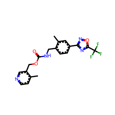 Cc1cc(-c2noc(C(F)(F)F)n2)ccc1CNC(=O)OCc1cnccc1C